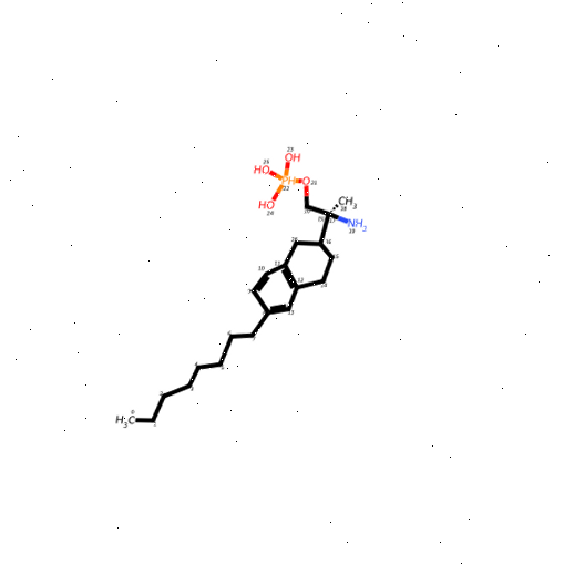 CCCCCCCCc1ccc2c(c1)CCC([C@](C)(N)CO[PH](O)(O)O)C2